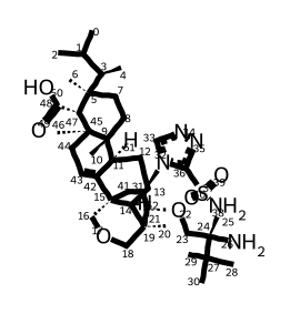 CC(C)[C@@H](C)[C@@]1(C)CC[C@]2(C)[C@H]3CC[C@@H]4[C@@]5(COC[C@]4(C)[C@@H](OC[C@](C)(N)C(C)(C)C)[C@H](n4cnnc4S(N)(=O)=O)C5)C3=CC[C@@]2(C)[C@@H]1C(=O)O